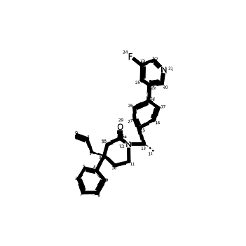 C=CC[C@]1(c2ccccc2)CCN([C@@H](C)c2ccc(-c3cncc(F)c3)cc2)C(=O)C1